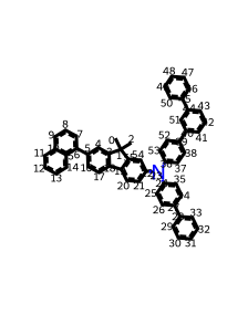 CC1(C)c2cc(-c3cccc4ccccc34)ccc2-c2ccc(N(c3ccc(-c4ccccc4)cc3)c3ccc(-c4cccc(-c5ccccc5)c4)cc3)cc21